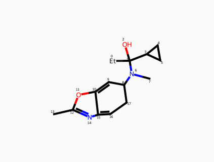 CCC(O)(C1CC1)N(C)C1C=c2oc(C)nc2=CC1